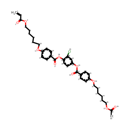 C=CC(=O)OCCCCCCOc1ccc(C(=O)Oc2ccc(OC(=O)c3ccc(OCCCCCCOC(=O)CC)cc3)cc2Cl)cc1